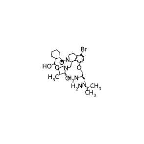 CC1CCN(C[C@@H]2c3c(OC/C(N)=C/N(N)C(C)C)ccc(Br)c3CCN2C(=O)[C@@H]2CCCC[C@@H]2C(=O)O)C1=O